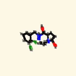 CN1C(=O)CCC1C(=O)NCc1cccc(Cl)c1F